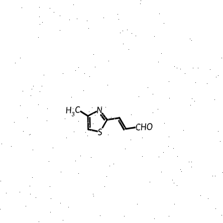 Cc1csc(C=CC=O)n1